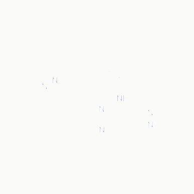 Cn1cc(-c2cccc(-c3ncc(-c4cnn(C)c4)c(NCC4(C)CCC4)n3)c2)cn1